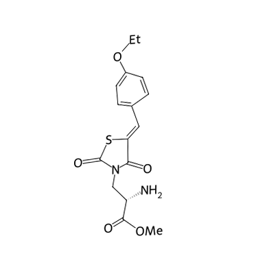 CCOc1ccc(/C=C2\SC(=O)N(C[C@H](N)C(=O)OC)C2=O)cc1